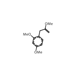 C=C(Cc1ccc(OC)cc1OC)OC